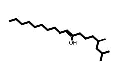 CCCCCCCCCC=C(O)CCCC(C)CC(C)C